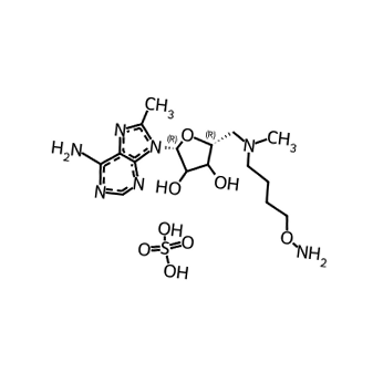 Cc1nc2c(N)ncnc2n1[C@@H]1O[C@H](CN(C)CCCCON)C(O)C1O.O=S(=O)(O)O